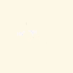 CC(=N)NC(=O)OCc1ccccc1